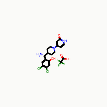 N[C@@H](c1cc(Cl)c(Cl)cc1O)C1CCN(c2cc[nH]c(=O)c2)CC1.O=C(O)C(F)(F)F